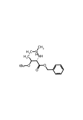 CC(OC(C)(C)C)[C@H](N[SiH](C)C)C(=O)OCc1ccccc1